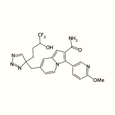 COc1ccc(-c2c(C(N)=O)cc3cc(CC4(CCC(O)C(F)(F)F)C=NN=N4)ccn23)cn1